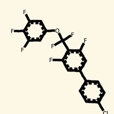 Fc1cc(OC(F)(F)c2c(F)cc(-c3ccc(Cl)cc3)cc2F)cc(F)c1F